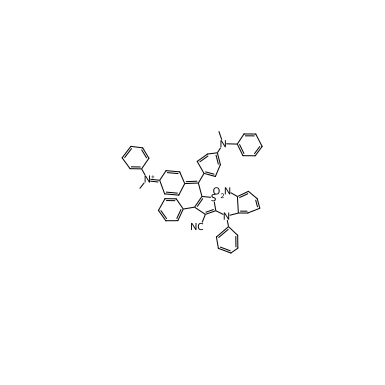 CN(c1ccccc1)c1ccc(C(=C2C=CC(=[N+](C)c3ccccc3)C=C2)c2sc(N(c3ccccc3)c3ccccc3[N+](=O)[O-])c(C#N)c2-c2ccccc2)cc1